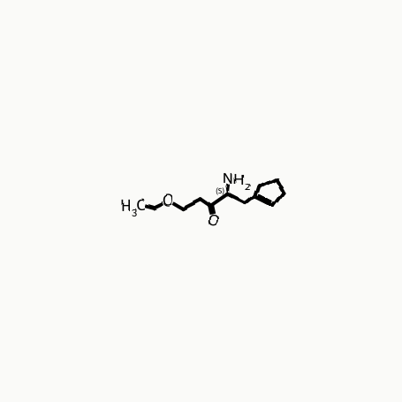 CCOCCC(=O)[C@@H](N)CC1=CCCC1